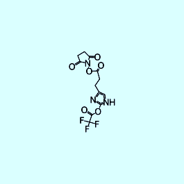 O=C(CCc1c[nH]c(OC(=O)C(F)(F)F)n1)ON1C(=O)CCC1=O